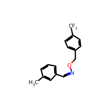 Cc1cccc(/[C]=N\OCc2ccc(C(F)(F)F)cc2)c1